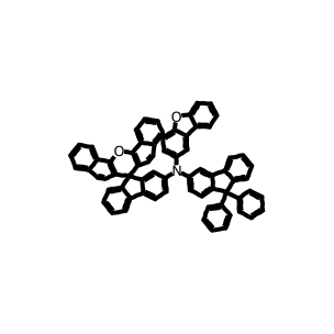 c1ccc(C2(c3ccccc3)c3ccccc3-c3cc(N(c4ccc5c(c4)C4(c6ccccc6-5)c5ccc6ccccc6c5Oc5c4ccc4ccccc54)c4ccc5oc6ccccc6c5c4)ccc32)cc1